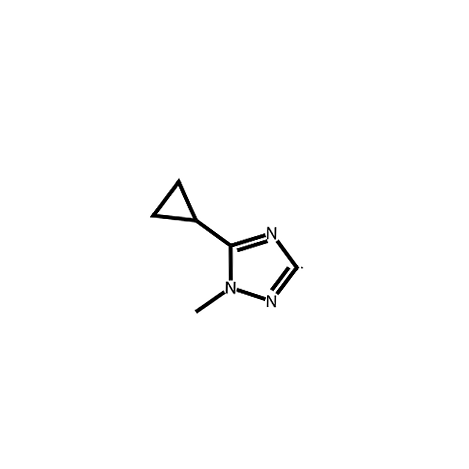 Cn1n[c]nc1C1CC1